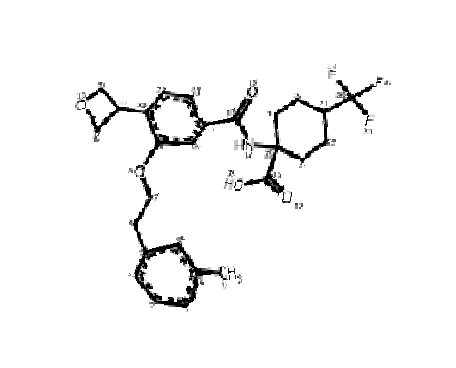 Cc1cccc(CCOc2cc(C(=O)NC3(C(=O)O)CCC(C(F)(F)F)CC3)ccc2C2COC2)c1